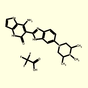 CC1CN(c2ccc3nc(-c4c(N)c5[se]ccc5[nH]c4=O)[nH]c3c2)CC(C)N1C.O=C(O)C(F)(F)F